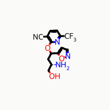 N#Cc1ccc(C(F)(F)F)nc1OC(C[C@H](N)CO)c1ccno1